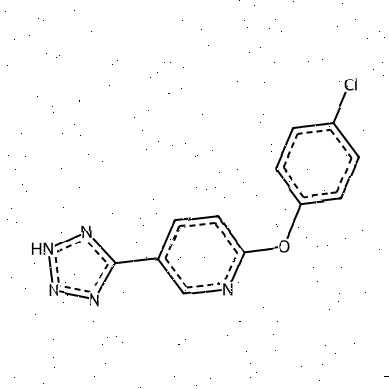 Clc1ccc(Oc2ccc(-c3nn[nH]n3)cn2)cc1